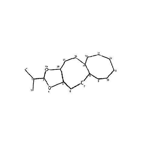 CC(C)C1OC2CCC3CCCCCCC3CCC2O1